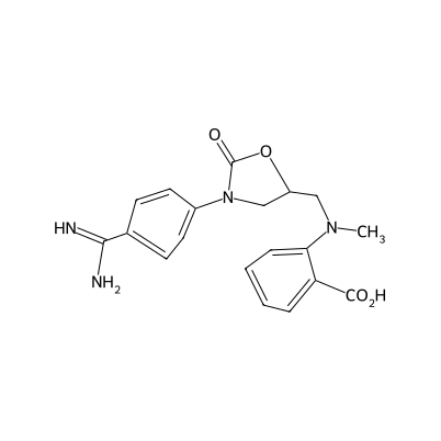 CN(CC1CN(c2ccc(C(=N)N)cc2)C(=O)O1)c1ccccc1C(=O)O